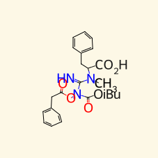 CC(C)COC(=O)N(OC(=O)Cc1ccccc1)C(=N)N(C)C(Cc1ccccc1)C(=O)O